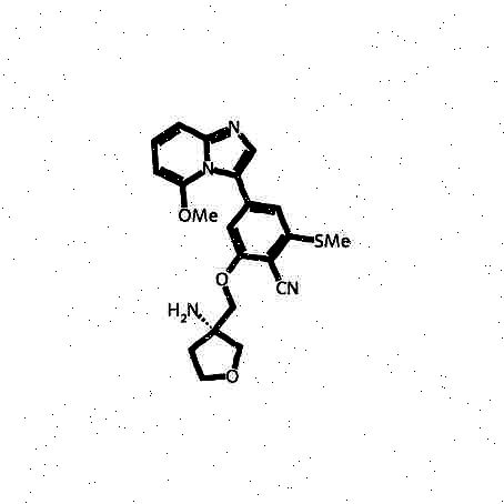 COc1cccc2ncc(-c3cc(OC[C@]4(N)CCOC4)c(C#N)c(SC)c3)n12